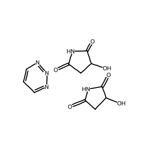 O=C1CC(O)C(=O)N1.O=C1CC(O)C(=O)N1.c1cnnnc1